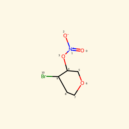 O=[N+]([O-])OC1COCCC1Br